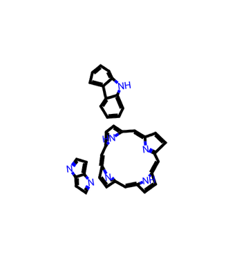 C1=Cc2cc3ccc(cc4nc(cc5ccc(cc1n2)[nH]5)C=C4)[nH]3.C1=NC2=CC=NC2=C1.c1ccc2c(c1)[nH]c1ccccc12